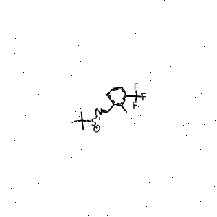 Cc1c(/C=N/[S@@+]([O-])C(C)(C)C)cccc1C(F)(F)F